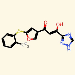 O=C(C=C(O)c1nc[nH]n1)c1coc(Sc2ccccc2C(F)(F)F)c1